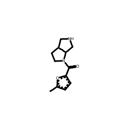 Cc1ccc(C(=O)N2CCC3CNCC32)o1